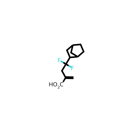 C=C(CC(F)(F)C1CC2CCC1C2)C(=O)O